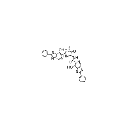 O=C(NC(NC(=O)c1ncc2nc(-c3ccccc3)sc2c1O)C(=O)O)c1ncc2nc(-c3ccccc3)sc2c1O